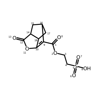 O=C(OCCS(=O)(=O)O)C1=C2OC(=O)C3CC1CC23